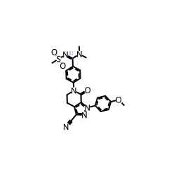 COc1ccc(-n2nc(C#N)c3c2C(=O)N(c2ccc(/C(=N\S(C)(=O)=O)N(C)C)cc2)CC3)cc1